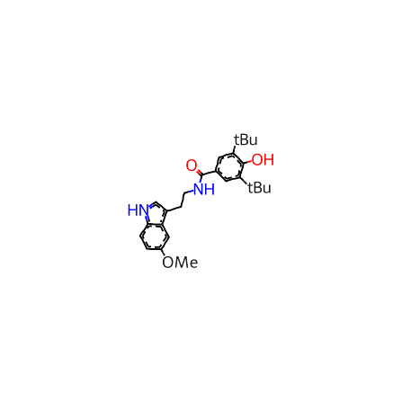 COc1ccc2[nH]cc(CCNC(=O)c3cc(C(C)(C)C)c(O)c(C(C)(C)C)c3)c2c1